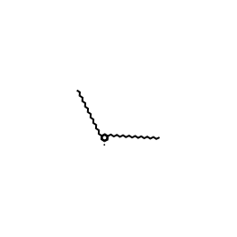 CCCCCCCCCCCCCCCCCc1c[c]cc(CCCCCCCCCCCCCCCCC)c1